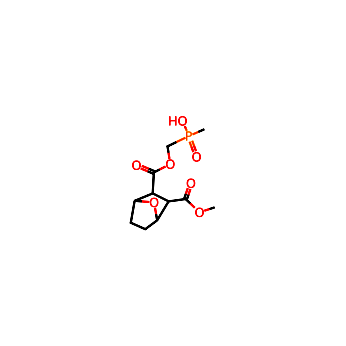 COC(=O)C1C2CCC(O2)C1C(=O)OCP(C)(=O)O